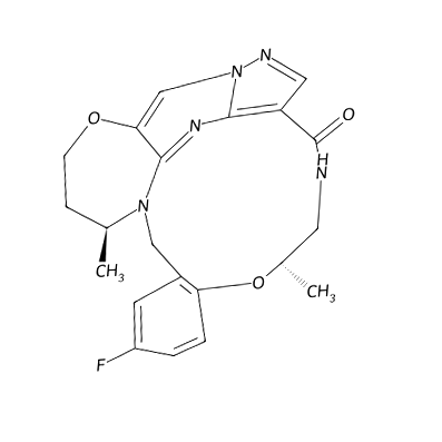 C[C@H]1CNC(=O)c2cnn3cc4c(nc23)N(Cc2cc(F)ccc2O1)[C@@H](C)CCO4